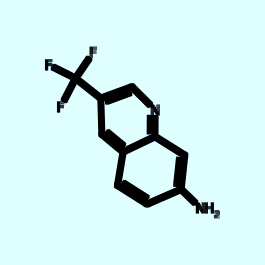 Nc1ccc2cc(C(F)(F)F)cnc2c1